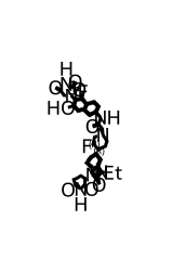 CCn1c(=O)n(C2CCC(=O)NC2=O)c2ccc([C@H]3CCN(CC(=O)Nc4ccc5c(F)c(N6CC(=O)NS6(=O)=O)c(O)cc5c4)C[C@@H]3F)cc21